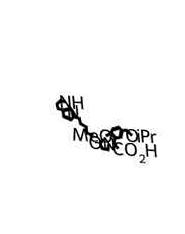 COc1ccc(COC(C)C)cc1C(C(=O)O)N1CC[C@@H](OCCCCCc2ccc3c(n2)NCCC3)C1